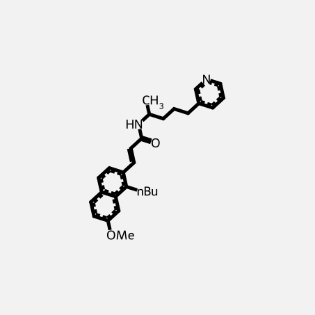 CCCCc1c(/C=C/C(=O)NC(C)CCCc2cccnc2)ccc2ccc(OC)cc12